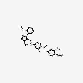 Cc1cc(OCc2c(C(C)C)nnn2-c2ccccc2OC(F)(F)F)ccc1N(C)Cc1ccc(C(=O)O)c(C(F)(F)F)c1